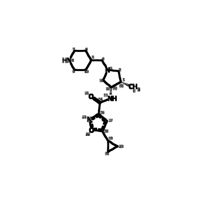 C[C@H]1CN(CC2CCNCC2)C[C@H]1NC(=O)c1cc(C2CC2)on1